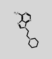 Cc1ncnc2c1ncn2CCN1CCCCC1